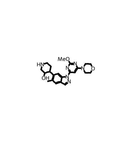 COc1nc(N2CCOCC2)cc(-n2ncc3cc(C)c(C4CCNCC4O)cc32)n1